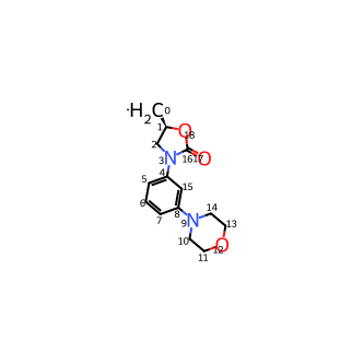 [CH2][C@@H]1CN(c2cccc(N3CCOCC3)c2)C(=O)O1